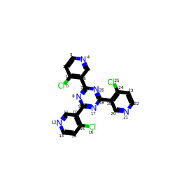 Clc1ccncc1-c1nc(-c2cnccc2Cl)nc(-c2cnccc2Cl)n1